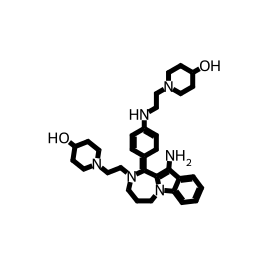 Nc1c2n(c3ccccc13)CCCN(CCN1CCC(O)CC1)/C2=C1\C=CC(NCCN2CCC(O)CC2)=CC1